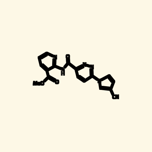 COC(=O)c1cccnc1NC(=O)c1ccc(-n2ccc(C#N)c2)nn1